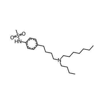 CCCCCCCN(CCCC)CCCCc1ccc(NS(C)(=O)=O)cc1